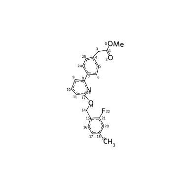 COC(=O)Cc1ccc(-c2cccc(OCc3ccc(C)cc3F)n2)cc1